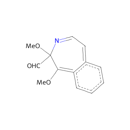 COC1=c2ccccc2=CC=NC1(C=O)OC